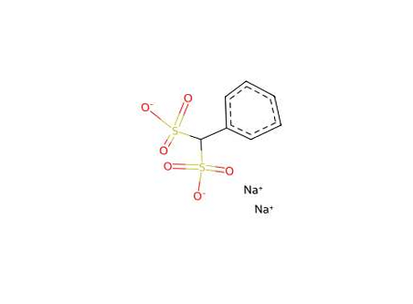 O=S(=O)([O-])C(c1ccccc1)S(=O)(=O)[O-].[Na+].[Na+]